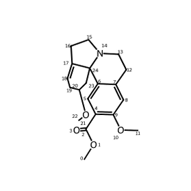 COC(=O)c1cc2c(cc1OC)CCN1CCC3=CCC(OC)CC321